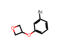 CC(=O)c1cccc(OC2COC2)c1